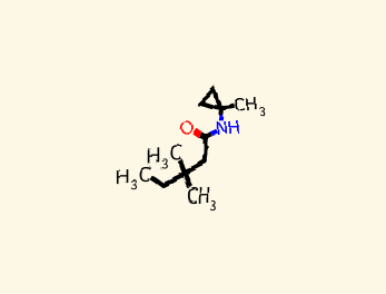 CCC(C)(C)CC(=O)NC1(C)CC1